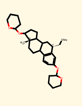 COC[C@H]1CC2C(CC[C@]3(C)C(OC4CCCCO4)CCC23)c2ccc(OC3CCCCO3)cc21